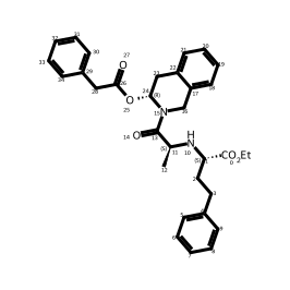 CCOC(=O)[C@H](CCc1ccccc1)N[C@@H](C)C(=O)N1Cc2ccccc2C[C@H]1OC(=O)Cc1ccccc1